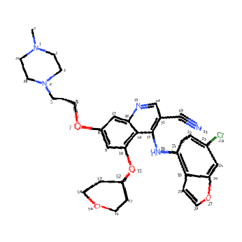 CN1CCN(CCOc2cc(OC3CCOCC3)c3c(Nc4cc(Cl)cc5occc45)c(C#N)cnc3c2)CC1